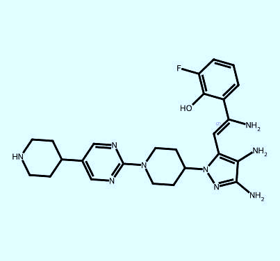 N/C(=C\c1c(N)c(N)nn1C1CCN(c2ncc(C3CCNCC3)cn2)CC1)c1cccc(F)c1O